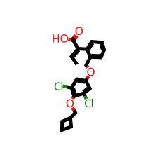 C/C=C(/C(=O)O)c1ccccc1COc1cc(Cl)c(OCC2CCC2)c(Cl)c1